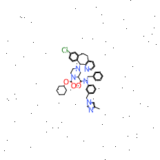 Cc1cn(Cc2cccc(N(Cc3ccccc3)C(=O)C3CN([C@@H]4c5ccc(Cl)cc5CCc5cccnc54)CCN3C(=O)OC3CCCCC3)c2)cn1